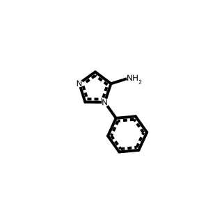 Nc1cncn1-c1ccccc1